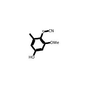 COc1cc(O)cc(C)c1SC#N